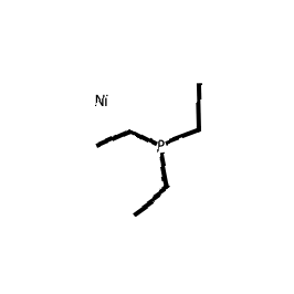 CCP(CC)CC.[Ni]